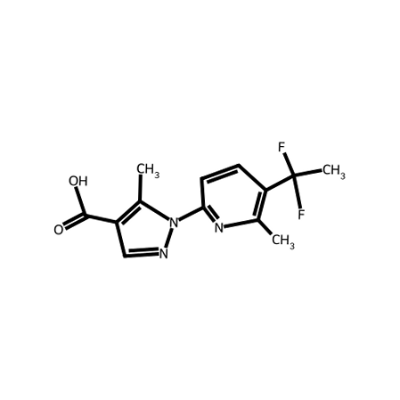 Cc1nc(-n2ncc(C(=O)O)c2C)ccc1C(C)(F)F